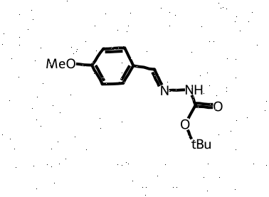 COc1ccc(C=NNC(=O)OC(C)(C)C)cc1